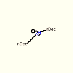 CCCCCCCCCCCCCCCCCCN1C=CN(CCCCCCCCCCCCCC)C1Cc1ccccc1